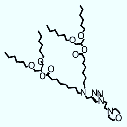 CCCCCCOCC(COCCCCCC)OC(=O)CCCCCCCN(CCCCCCCC(=O)OC(COCCCCCC)COCCCCCC)Cc1cn(CCN2CCOCC2)nn1